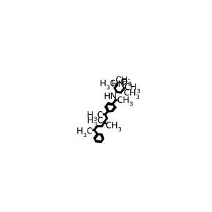 CC(CCC(C)(C)CC(C)c1ccc(C(C)NC2CC(C)(C)[NH+]([O-])C(C)(C)C2)cc1)c1ccccc1